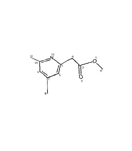 COC(=O)Cc1cc(C)cc(C)n1